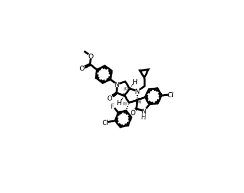 COC(=O)c1ccc(N2C[C@@H]3[C@H](C2=O)[C@@H](c2cccc(Cl)c2F)[C@@]2(C(=O)Nc4cc(Cl)ccc42)N3CC2CC2)cc1